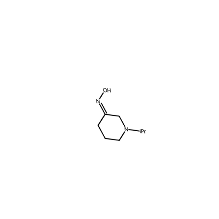 CC(C)N1CCC/C(=N/O)C1